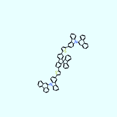 c1ccc2c(c1)-c1ccccc1C21c2cc(-c3ccc(-c4ccc5c(c4)c4ccccc4n5-c4cc5ccccc5c5ccccc45)s3)ccc2-c2ccc(-c3ccc(-c4ccc5c(c4)c4ccccc4n5-c4cc5ccccc5c5ccccc45)s3)cc21